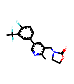 Cc1ncc(-c2ccc(F)c(C(C)(F)F)c2)cc1CN1CCOC1=O